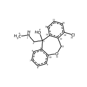 CNCC1(O)c2ccccc2OCc2c(Cl)cccc21